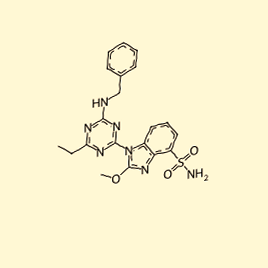 CCc1nc(NCc2ccccc2)nc(-n2c(OC)nc3c(S(N)(=O)=O)cccc32)n1